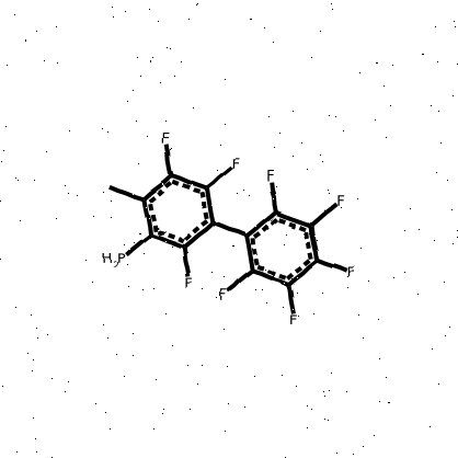 Cc1c(F)c(F)c(-c2c(F)c(F)c(F)c(F)c2F)c(F)c1P